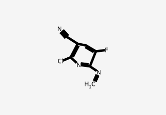 C=Nc1nc(Cl)c(C#N)cc1F